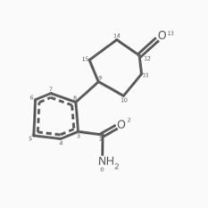 NC(=O)c1ccccc1C1CCC(=O)CC1